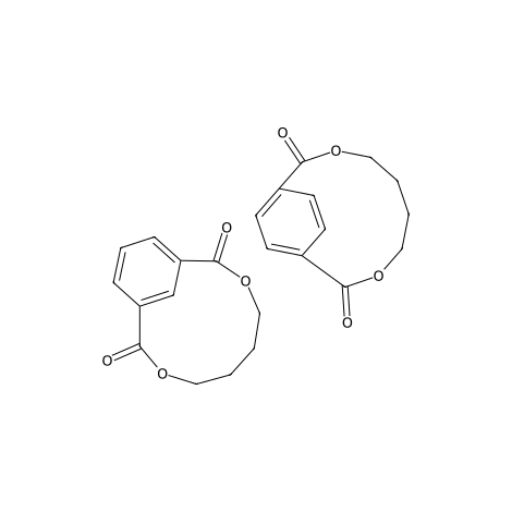 O=C1OCCCCOC(=O)c2ccc1cc2.O=C1OCCCCOC(=O)c2cccc1c2